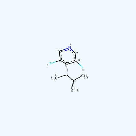 CC(C)C(C)c1c(F)cncc1F